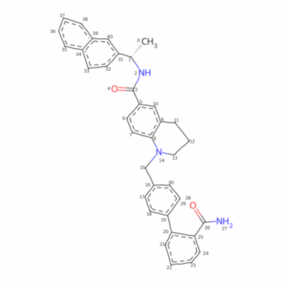 C[C@H](NC(=O)c1ccc2c(c1)CCCN2Cc1ccc(-c2ccccc2C(N)=O)cc1)c1ccc2ccccc2c1